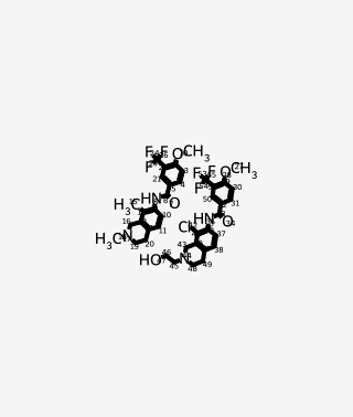 COc1ccc(C(=O)Nc2ccc3c(c2C)CN(C)CC3)cc1C(F)(F)F.COc1ccc(C(=O)Nc2ccc3c(c2Cl)CN(CCO)CC3)cc1C(F)(F)F